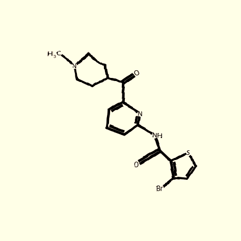 CN1CCC(C(=O)c2cccc(NC(=O)c3sccc3Br)n2)CC1